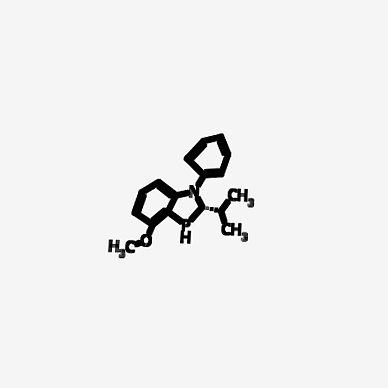 COc1cccc2c1P[C@@H](C(C)C)N2c1ccccc1